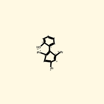 CC(C)c1cc(C(C)C)c(-c2ccccc2O)c(C(C)C)c1